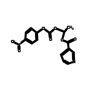 CC(OC(=O)Oc1ccc([N+](=O)[O-])cc1)OC(=O)c1cccnc1